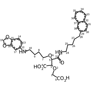 O=C(O)COC(C(=O)O)C(OCCCCNc1ccc2c(c1)OCO2)C(=O)NCCCCCc1ccc2ccccc2c1